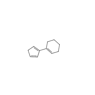 C1=CC(C2=CCCCC2)=CC1